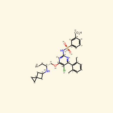 Cc1cccc(C)c1-c1nc(NS(=O)(=O)c2cccc(C(=O)O)c2)nc(OC[C@@H](CC(C)C)NC2CC3(CC3)C2)c1Br